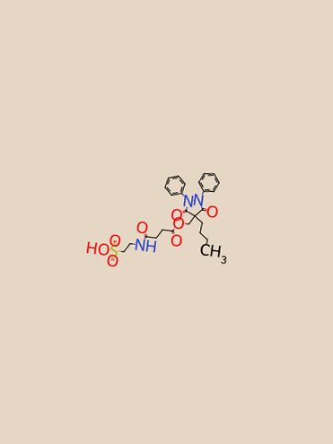 CCCCC1(COC(=O)CCC(=O)NCCS(=O)(=O)O)C(=O)N(c2ccccc2)N(c2ccccc2)C1=O